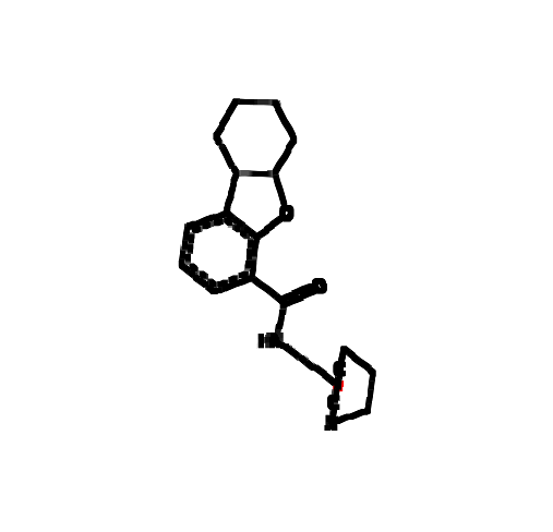 O=C(NC1CN2CCC1CC2)c1cccc2c1OC1CCCCC21